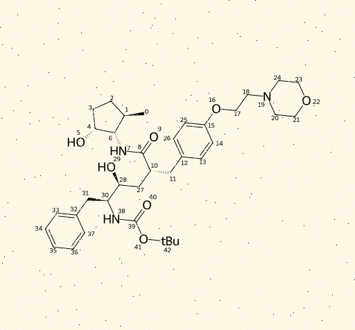 C[C@@H]1CC[C@@H](O)[C@H]1NC(=O)[C@H](Cc1ccc(OCCN2CCOCC2)cc1)C[C@H](O)[C@H](Cc1ccccc1)NC(=O)OC(C)(C)C